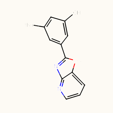 Cc1cc(-c2nc3ncccc3o2)cc(C(C)(C)C)c1